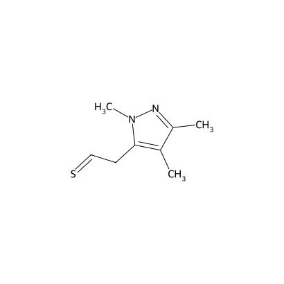 Cc1nn(C)c(CC=S)c1C